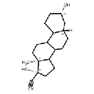 C#C[C@]1(O)CCC2C3CC[C@H]4C[C@@H](O)CCC4C3CC[C@@]21C